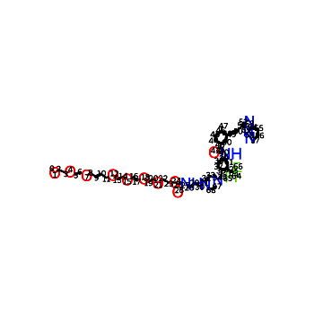 COCCOCCOC/C=C/COCCOCCOCCOCCOC(=O)NCCCN1CCN(Cc2ccc(NC(=O)c3ccc(C)c(C#Cc4cnc5cccnn45)c3)cc2C(F)(F)F)CC1